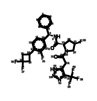 O=C(N[C@@H](c1ccccc1)c1ccc(C2CC(F)(F)C2)c(F)c1)[C@@H]1C[C@@H](F)CN1C(=O)Cc1[nH]nnc1C(F)(F)F